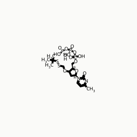 Cc1ccn([C@H]2CC(OCSSC(C)(C)C)[C@@H](COP(=O)(O)OP(=O)(O)OP(=O)(O)O)O2)c(=O)n1